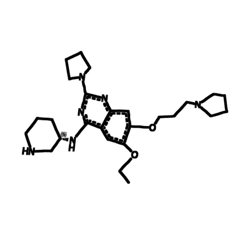 CCOc1cc2c(N[C@H]3CCCNC3)nc(N3CCCC3)nc2cc1OCCCN1CCCC1